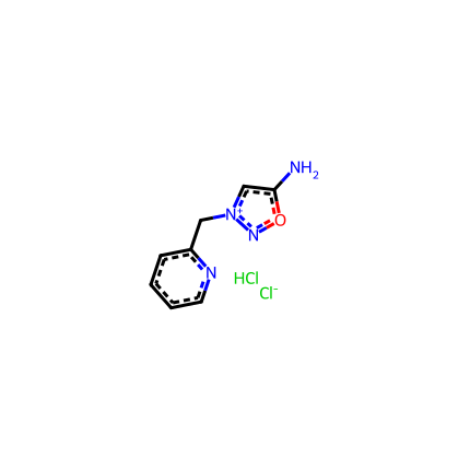 Cl.Nc1c[n+](Cc2ccccn2)no1.[Cl-]